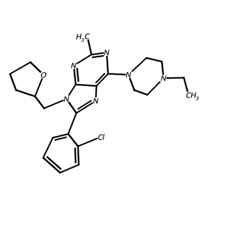 CCN1CCN(c2nc(C)nc3c2nc(-c2ccccc2Cl)n3CC2CCCO2)CC1